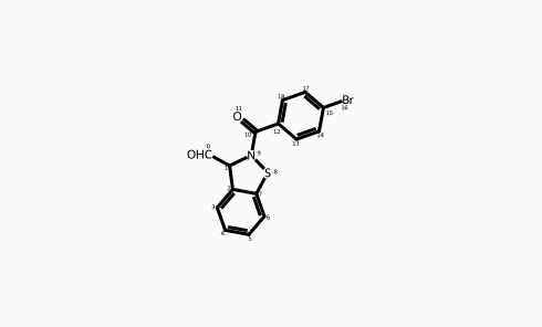 O=CC1c2ccccc2SN1C(=O)c1ccc(Br)cc1